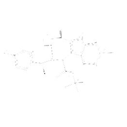 C[C@@H](c1ccc(Cl)cc1)N(C=O)C(C(=O)NC(C)(C)C)c1c(C(=O)O)[nH]c2cc(Cl)ccc12